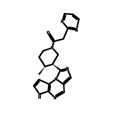 C[C@@H]1CCN(C(=O)Cc2ncccn2)C[C@@H]1c1ncc2cnc3[nH]ccc3n12